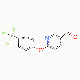 O=Cc1ccc(Oc2ccc(C(F)(F)F)cc2)nc1